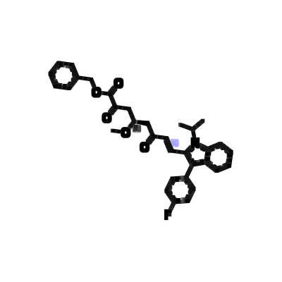 CO[C@H](CC(=O)/C=C/c1c(-c2ccc(F)cc2)c2ccccc2n1C(C)C)CC(=O)C(=O)OCc1ccccc1